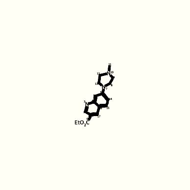 CCOC(=O)c1cnc2cc(N3CCN(C)CC3)ccc2c1